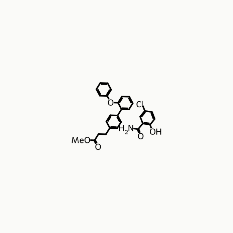 COC(=O)CCc1ccc(-c2ccccc2Oc2ccccc2)cc1.NC(=O)c1cc(Cl)ccc1O